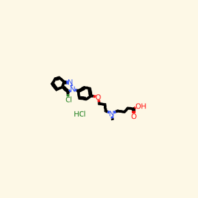 CN(CCCOc1ccc(-n2nc3ccccc3c2Cl)cc1)CCCC(=O)O.Cl